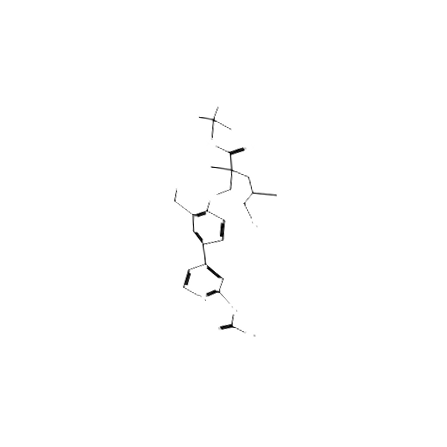 CC(CN)CC(C)(COc1ccc(-c2ccnc(NC(=O)O)c2)cc1CO)C(=O)OC(C)(C)C